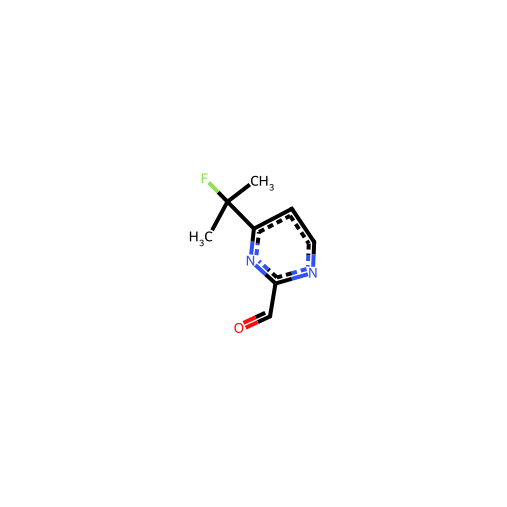 CC(C)(F)c1ccnc(C=O)n1